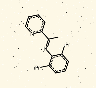 CC(=Nc1c(C(C)C)cccc1C(C)C)c1ccccn1